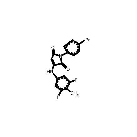 Cc1c(F)cc(NC2=CC(=O)N(c3ccc(C(C)C)cc3)C2=O)cc1F